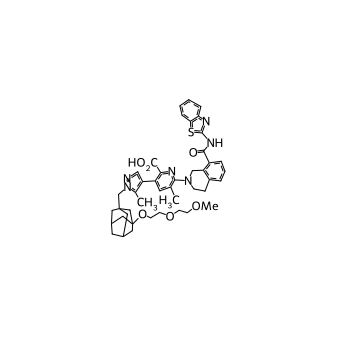 COCCOCCOC12CC3CC(CC(Cn4ncc(-c5cc(C)c(N6CCc7cccc(C(=O)Nc8nc9ccccc9s8)c7C6)nc5C(=O)O)c4C)(C3)C1)C2